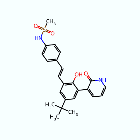 CC(C)(C)c1cc(/C=C/c2ccc(NS(C)(=O)=O)cc2)c(O)c(-c2ccc[nH]c2=O)c1